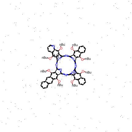 CCCCOc1c2c(c(OCCCC)c3cc4ccccc4cc13)-c1nc-2nc2[nH]c(nc3nc(nc4c5c(OCCCC)c6ncccc6c(OCCCC)c5c(n1)n4C)-c1c-3c(OCCCC)c3ccccc3c1OCCCC)c1c(OCCCC)c3ccccc3c(OCCCC)c21